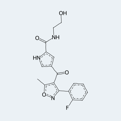 Cc1onc(-c2ccccc2F)c1C(=O)c1c[nH]c(C(=O)NCCO)c1